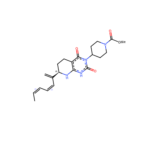 C=C(/C=C\C=C/C)[C@H]1CCc2c([nH]c(=O)n(C3CCN(C(=O)OC)CC3)c2=O)N1